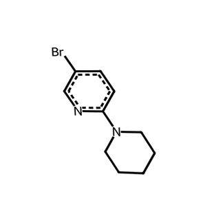 Brc1ccc(N2CCCCC2)nc1